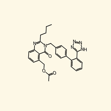 CCCCc1nc2cccc(COC(C)=O)c2c(=O)n1Cc1ccc(-c2ccccc2-c2nnn[nH]2)cc1